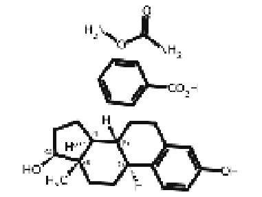 C[C@]12CC[C@@H]3c4ccc(O)cc4CC[C@H]3[C@@H]1CC[C@@H]2O.NOC(N)=O.O=C(O)c1ccccc1